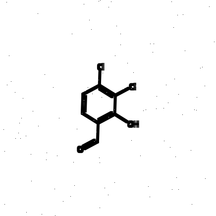 O=Cc1ccc(Cl)c(Cl)c1O